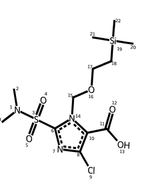 CN(C)S(=O)(=O)c1nc(Cl)c(C(=O)O)n1COCC[Si](C)(C)C